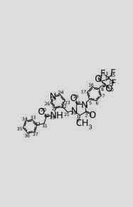 CC1C(=O)N(c2ccc(S(=O)(=O)C(F)(F)F)cc2)C(=O)N1Cc1ccncc1NC(=O)Cc1ccccc1